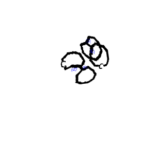 C1=C(\C2=C\CCCCCCC2)CCCCCCC/1.C1=C(\C2=C\CCCCCCCC2)CCCCCCCC/1